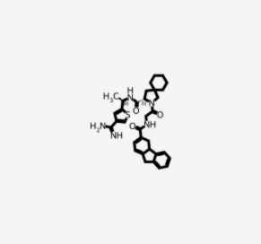 C[C@@H](NC(=O)[C@@H]1CC2(CCCCC2)CN1C(=O)CNC(=O)C1=CC=C2Cc3ccccc3C2C1)c1cc(C(=N)N)cs1